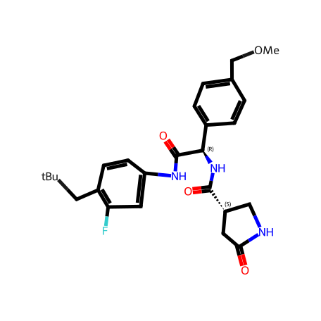 COCc1ccc([C@@H](NC(=O)[C@@H]2CNC(=O)C2)C(=O)Nc2ccc(CC(C)(C)C)c(F)c2)cc1